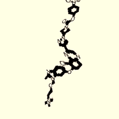 Cc1nc2ccc(Oc3ccc4ncc(-c5cnn(C6CN(C(=O)Oc7ccc([N+](=O)[O-])cc7)C6)c5)nc4c3Cl)cc2n1COCC[Si](C)(C)C